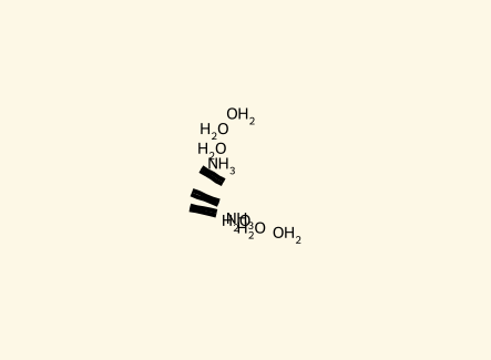 C=C.C=C.C=C.N.N.O.O.O.O.O.O